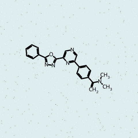 C=C(c1ccc(-c2cncc(-c3nnc(-c4ccccc4)o3)n2)cc1)N(C)C